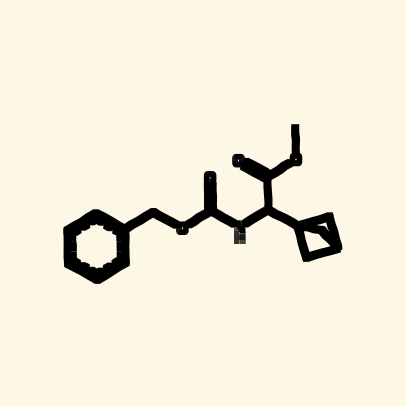 COC(=O)C(NC(=O)OCc1ccccc1)C12CC(C1)C2